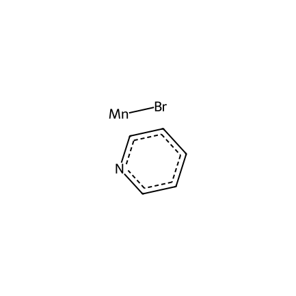 [Mn][Br].c1ccncc1